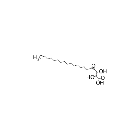 CCCCCCCCCCCCCC=CC1=C(C(O)=C(O)C(=O)O)O1